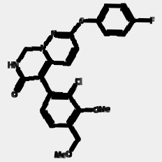 COCc1ccc(C2=C3C=CC(Sc4ccc(F)cc4)=NN3CNC2=O)c(Cl)c1OC